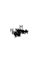 Nc1nc(Nc2cc(C3CCC3)[nH]n2)nc(N2CCCC2c2ccc(F)cc2F)n1